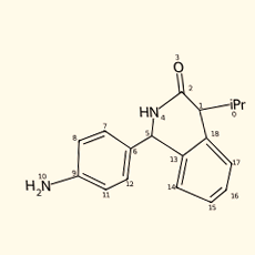 CC(C)C1C(=O)NC(c2ccc(N)cc2)c2ccccc21